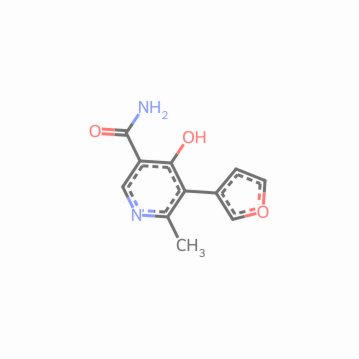 Cc1ncc(C(N)=O)c(O)c1-c1ccoc1